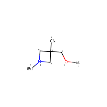 CCOCC1(C#N)CN(C(C)CC)C1